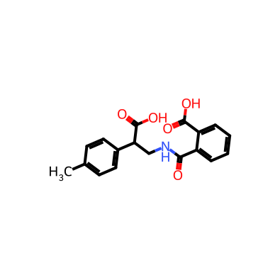 Cc1ccc(C(CNC(=O)c2ccccc2C(=O)O)C(=O)O)cc1